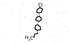 CCCC[C@H]1CC[C@H](C2CCC([C@H]3CC[C@H](Cl)CC3)CC2)CC1